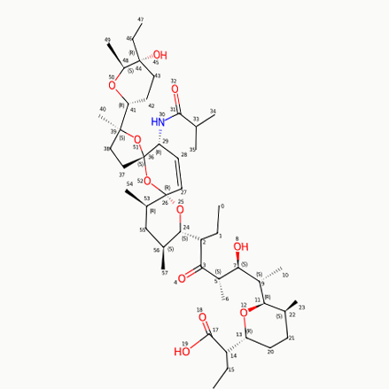 CCC(C(=O)[C@@H](C)[C@@H](O)[C@H](C)[C@@H]1O[C@@H](C(CC)C(=O)O)CC[C@@H]1C)[C@H]1O[C@]2(C=C[C@@H](NC(=O)C(C)C)[C@]3(CC[C@@](C)([C@H]4CC[C@](O)(CC)[C@H](C)O4)O3)O2)[C@H](C)C[C@@H]1C